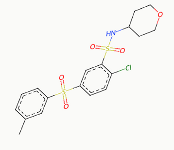 Cc1cccc(S(=O)(=O)c2ccc(Cl)c(S(=O)(=O)NC3CCOCC3)c2)c1